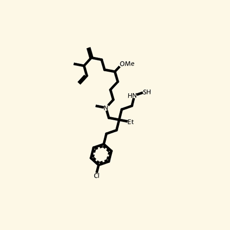 C=CC(C)C(=C)CCC(CCCN(C)CC(CC)(CCNS)CCc1ccc(Cl)cc1)OC